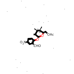 CC(=O)OCC1O[C@@H](Oc2ccc([N+](=O)[O-])cc2C=O)C(C)[C@@H](C)[C@H]1C